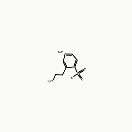 CCCCCCCCCCc1ccccc1S(=O)(=O)[O-].[Na+]